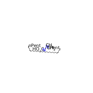 CCCCC/C=C\C/C=C\CCCCCCCCC(CCCCCCCC/C=C\C/C=C\CCCCC)N(CCN(C)C)C(=O)O